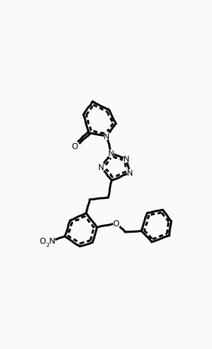 O=c1ccccn1-n1nnc(CCc2cc([N+](=O)[O-])ccc2OCc2ccccc2)n1